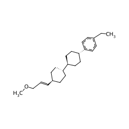 CCc1ccc([C@H]2CC[C@H]([C@H]3CC[C@H](C=CCOC)CC3)CC2)cc1